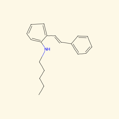 CCCCCNc1ccccc1C=Cc1ccccc1